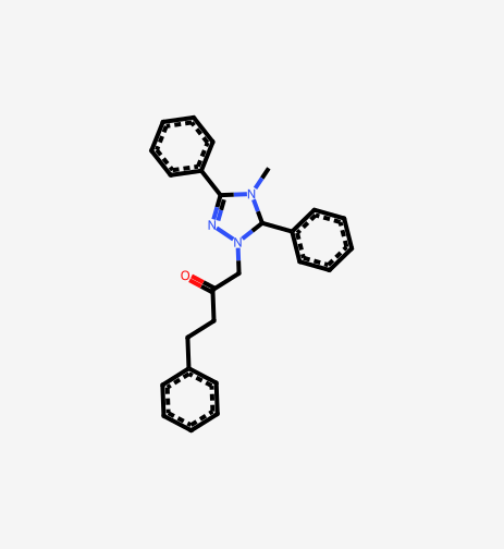 CN1C(c2ccccc2)=NN(CC(=O)CCc2ccccc2)C1c1ccccc1